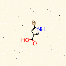 O=C(O)c1c[nH]c(Br)c1